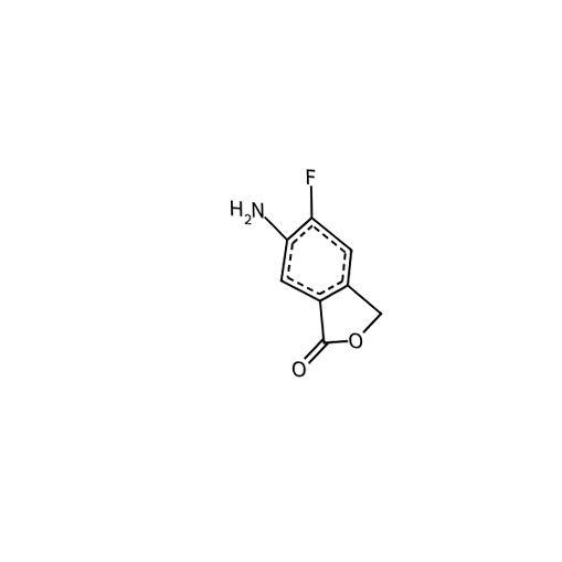 Nc1cc2c(cc1F)COC2=O